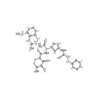 CCCN1CCN(C(=O)NC(C(=O)N[C@H]2Cc3cccc(C(=O)O)c3OB2O)c2csc(NC(=O)OCc3ccccc3)n2)C(=O)C1=O